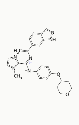 C=C(/N=C(/Nc1ccc(OC2CCOCC2)cc1)c1nccn1C)c1ccc2cn[nH]c2c1